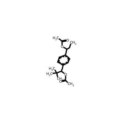 CCC(OC(C)=O)c1ccc(C(OC(C)=O)C(C)(C)C)cc1